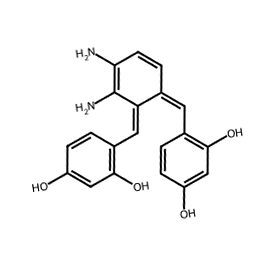 Nc1ccc(=Cc2ccc(O)cc2O)c(=Cc2ccc(O)cc2O)c1N